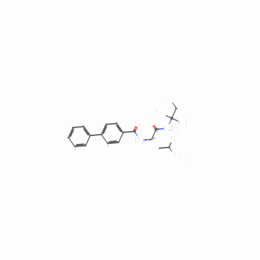 CC(C)CC(C)(C)NC(=O)[C@H](CC(C)C(=O)O)NC(=O)c1ccc(-c2ccccc2)cc1